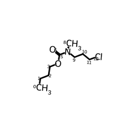 CCCCOC(=O)N(C)CCCCl